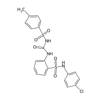 Cc1ccc(S(=O)(=O)NC(=O)Nc2ccccc2S(=O)(=O)Nc2ccc(Cl)cc2)cc1